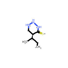 CCC(C)[C@H]1CNNNC1=S